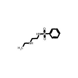 CCNCCNS(=O)(=O)c1ccccc1